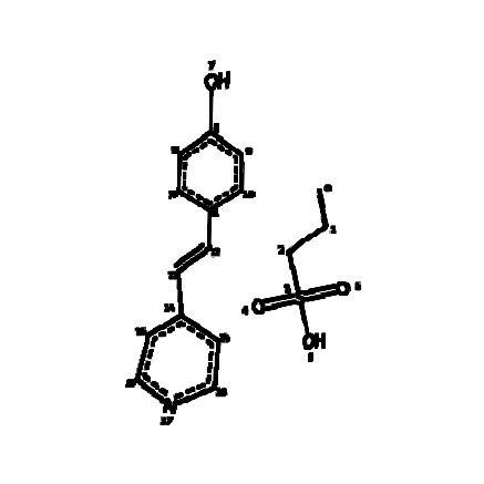 CCCS(=O)(=O)O.Oc1ccc(C=Cc2ccncc2)cc1